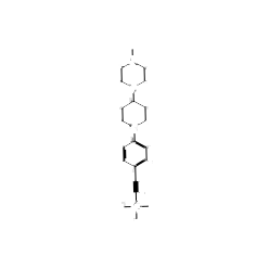 CN1CCN(C2CCN(c3ccc(C#C[Si](C)(C)C)cc3)CC2)CC1